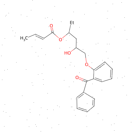 CC=CC(=O)OC(CC)CC(O)COc1ccccc1C(=O)c1ccccc1